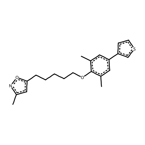 Cc1cc(CCCCCOc2c(C)cc(-c3ccsc3)cc2C)on1